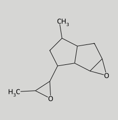 CC1CC(C2OC2C)C2C1CC1OC12